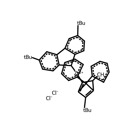 CC1[C]([Zr+2][CH]2c3ccc(C(C)(C)C)cc3-c3cc(C(C)(C)C)ccc32)=C2C(C(C)(C)C)=C1C2(c1ccccc1)c1ccccc1.[Cl-].[Cl-]